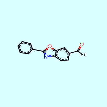 CCC(=O)c1ccc2nc(-c3ccccc3)oc2c1